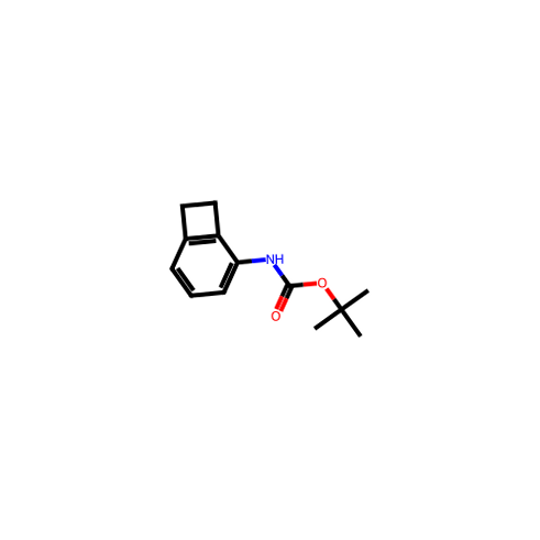 CC(C)(C)OC(=O)Nc1cccc2c1CC2